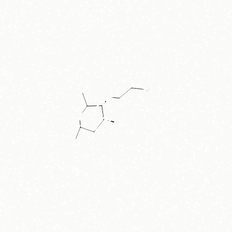 CC1OC(C)[C@@H](OCCN)[C@@H](O)[C@@H]1C